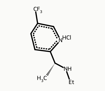 CCN[C@H](C)c1ccc(C(F)(F)F)cn1.Cl